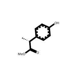 [CH2][C@@H](C(=O)OC)c1ccc(O)cc1